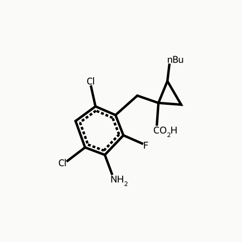 CCCCC1CC1(Cc1c(Cl)cc(Cl)c(N)c1F)C(=O)O